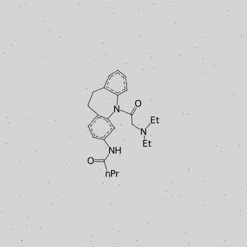 CCCC(=O)Nc1ccc2c(c1)N(C(=O)CN(CC)CC)c1ccccc1CC2